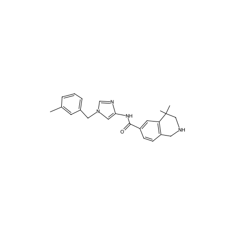 Cc1cccc(Cn2cnc(NC(=O)c3ccc4c(c3)C(C)(C)CNC4)c2)c1